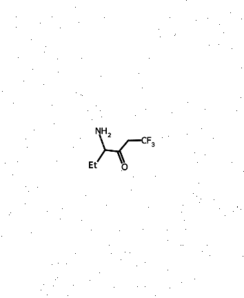 CCC(N)C(=O)CC(F)(F)F